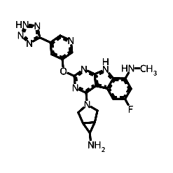 CNc1cc(F)cc2c1[nH]c1nc(Oc3cncc(-c4nn[nH]n4)c3)nc(N3CC4C(N)C4C3)c12